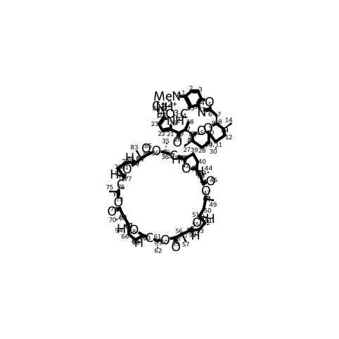 CNc1ccc2oc(C[C@@H]3OC4(CC[C@@H]3C)O[C@H](C(C)C(=O)c3ccc[nH]3)[C@H](C)C[C@H]4C)nc2c1C(=O)O.C[C@@H]1C[C@H]2CC[C@H](O2)[C@H](C)C(=O)O[C@@H](C)C[C@@H]2CC[C@@H](O2)[C@@H](C)C(=O)O[C@H](C)C[C@H]2CC[C@H](O2)[C@H](C)C(=O)O[C@@H](C)C[C@@H]2CC[C@@H](O2)[C@@H](C)C(=O)O1.N.[Ca+2]